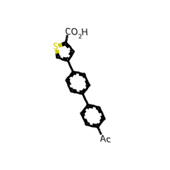 CC(=O)c1ccc(-c2ccc(-c3csc(C(=O)O)c3)cc2)cc1